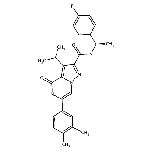 Cc1ccc(-c2cn3nc(C(=O)N[C@H](C)c4ccc(F)cc4)c(C(C)C)c3c(=O)[nH]2)cc1C